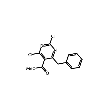 COC(=O)c1c(Cl)nc(Cl)nc1Cc1ccccc1